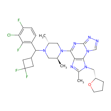 Cc1nc2c(N3C[C@@H](C)N(C(c4ccc(F)c(Cl)c4F)C4CC(F)(F)C4)C[C@@H]3C)nc3nncn3c2n1C[C@@H]1CCCO1